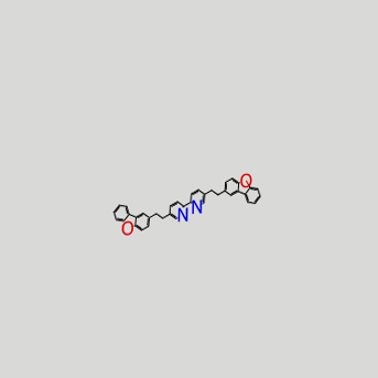 c1ccc2c(c1)oc1ccc(CCc3ccc(-c4ccc(CCc5ccc6oc7ccccc7c6c5)cn4)nc3)cc12